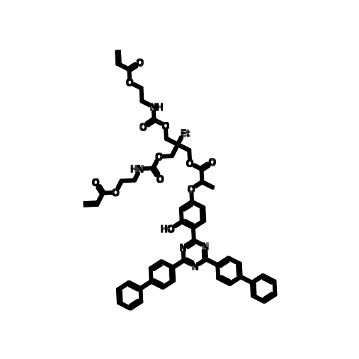 C=CC(=O)OCCNC(=O)OCC(CC)(COC(=O)NCCOC(=O)C=C)COC(=O)C(C)Oc1ccc(-c2nc(-c3ccc(-c4ccccc4)cc3)nc(-c3ccc(-c4ccccc4)cc3)n2)c(O)c1